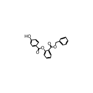 O=C(Oc1ccccc1C(=O)OCc1ccccc1)c1ccc(O)cc1